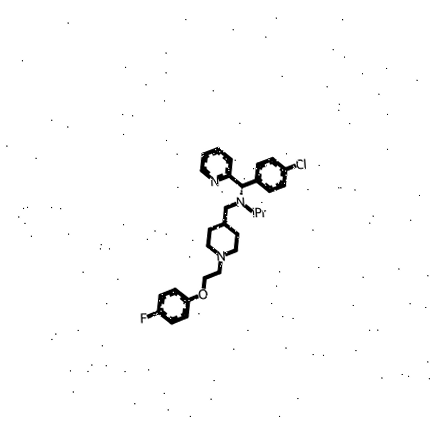 CC(C)N(CC1CCN(CCOc2ccc(F)cc2)CC1)[C@@H](c1ccc(Cl)cc1)c1ccccn1